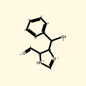 O=CC1NC=NC1C(S)c1ccccc1